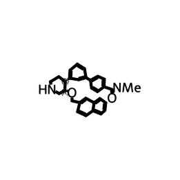 CNC(=O)c1ccc(-c2cccc([C@H]3CCNC[C@@H]3OCc3ccc4ccccc4c3)c2)cc1